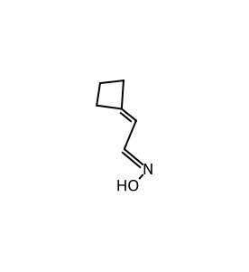 ON=CC=C1CCC1